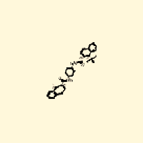 C[C@H]1c2ccccc2CC[C@H]1C(=O)N[C@H]1CC[C@H](NC(=O)[C@@H]2CCc3ccccc3[C@@H]2C(C)(C)C)CC1